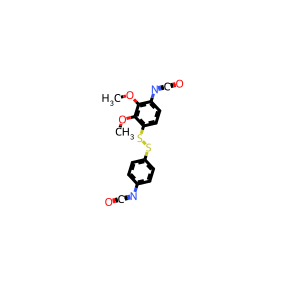 COc1c(N=C=O)ccc(SSc2ccc(N=C=O)cc2)c1OC